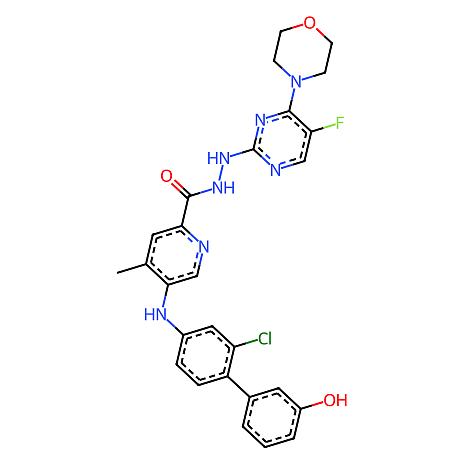 Cc1cc(C(=O)NNc2ncc(F)c(N3CCOCC3)n2)ncc1Nc1ccc(-c2cccc(O)c2)c(Cl)c1